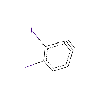 Ic1c#cccc1I